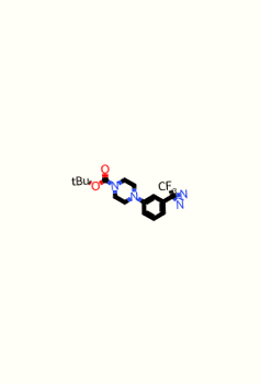 CC(C)(C)OC(=O)N1CCN(c2cccc(C3(C(F)(F)F)N=N3)c2)CC1